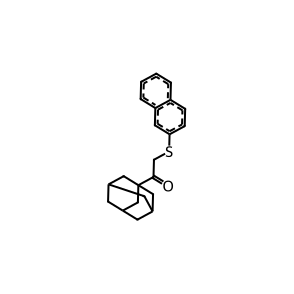 O=C(CSc1ccc2ccccc2c1)C12CC3CC(CC(C3)C1)C2